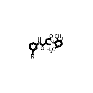 Cc1cccc(C)c1N1CC(C(=O)Nc2cccc(C#N)c2)CC1=O